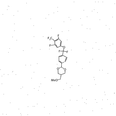 COCC1COC(c2ccc(C(F)(F)Oc3cc(F)c(C(F)(F)F)c(F)c3)cc2)OC1